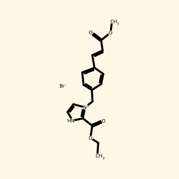 CCOC(=O)c1[nH]cc[n+]1Cc1ccc(C=CC(=O)OC)cc1.[Br-]